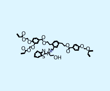 C=CC(=C)OCOc1ccc(C(=O)OCCc2ccc(CCOC(=O)c3ccc(OCOC(=O)C=C)c(OCOC(=O)C=C)c3)c(/C=N/N(CCO)c3nc4ccccc4s3)c2)cc1